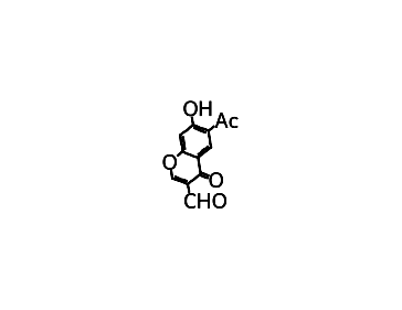 CC(=O)c1cc2c(=O)c(C=O)coc2cc1O